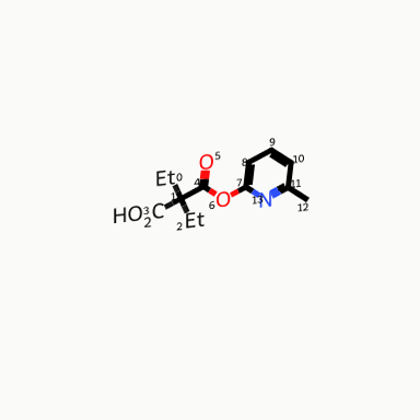 CCC(CC)(C(=O)O)C(=O)Oc1cccc(C)n1